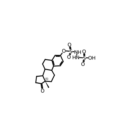 C[C@]12CCC3c4ccc(OS(=O)(=O)NNS(=O)(=O)O)cc4CCC3C1CCC2=O